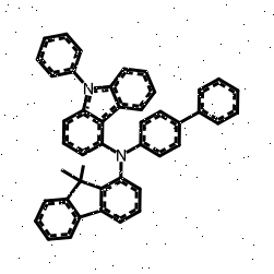 CC1(C)c2ccccc2-c2cccc(N(c3ccc(-c4ccccc4)cc3)c3cccc4c3c3ccccc3n4-c3ccccc3)c21